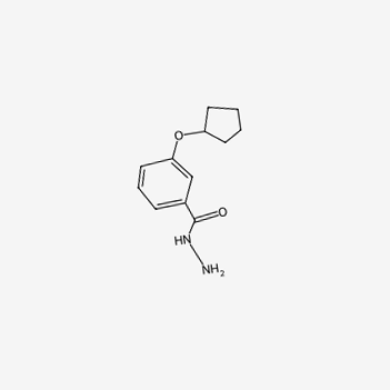 NNC(=O)c1cccc(OC2CCCC2)c1